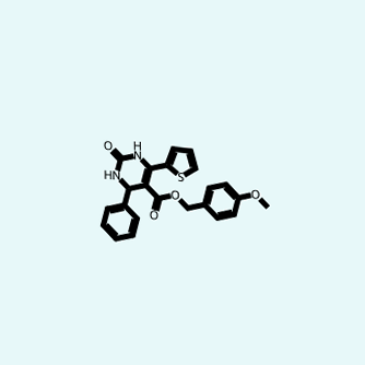 COc1ccc(COC(=O)C2=C(c3cccs3)NC(=O)NC2c2ccccc2)cc1